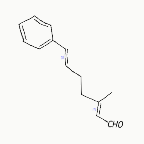 C/C(=C\C=O)CC/C=C/c1ccccc1